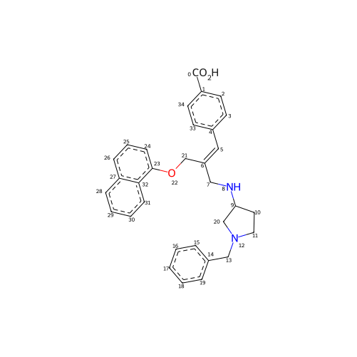 O=C(O)c1ccc(/C=C(/CNC2CCN(Cc3ccccc3)C2)COc2cccc3ccccc23)cc1